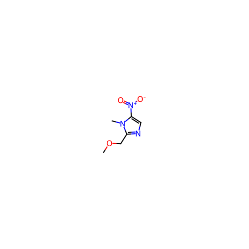 COCc1ncc([N+](=O)[O-])n1C